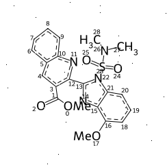 COC(=O)c1cc2ccccc2nc1-c1nc2c(OC)cccc2n1S(=O)(=O)N(C)C